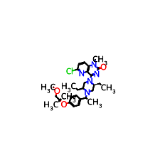 CCC1CN(c2nc(=O)n(C)c3ccc(Cl)nc23)[C@@H](CC)CN1C(C)c1ccc(OC(C)(C)COC)cc1